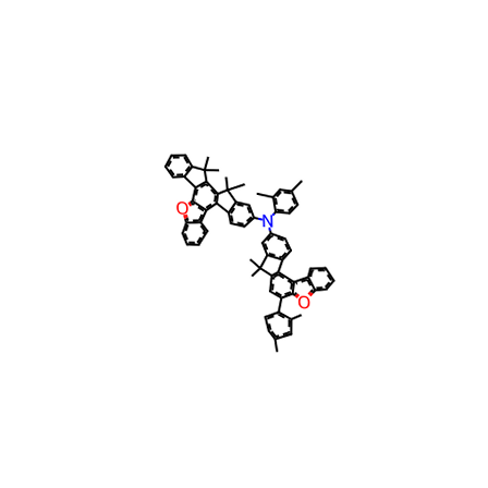 Cc1ccc(-c2cc3c(c4c2oc2ccccc24)-c2ccc(N(c4ccc5c(c4)C(C)(C)c4c6c(c7oc8ccccc8c7c4-5)-c4ccccc4C6(C)C)c4ccc(C)cc4C)cc2C3(C)C)c(C)c1